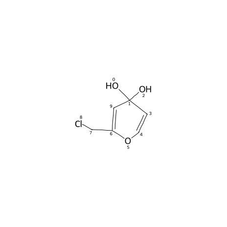 OC1(O)C=COC(CCl)=C1